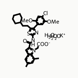 COc1cc(-c2nc(NC(=O)c3cc4cc(C)cc(C)c4n3CC(=O)[O-])sc2CCC2CCCCC2)c(OC)cc1Cl.O.O.O.[K+]